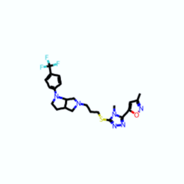 Cc1cc(-c2nnc(SCCCN3CC4CCN(c5ccc(C(F)(F)F)cc5)C4C3)n2C)on1